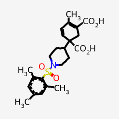 CC1=C(C(=O)O)CC(C(=O)O)(C2CCN(S(=O)(=O)c3c(C)cc(C)cc3C)CC2)C=C1